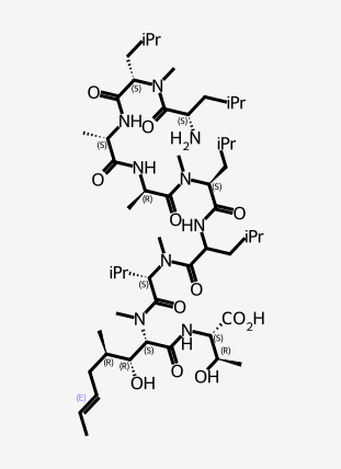 C/C=C/C[C@@H](C)[C@@H](O)[C@@H](C(=O)N[C@H](C(=O)O)[C@@H](C)O)N(C)C(=O)[C@H](C(C)C)N(C)C(=O)C(CC(C)C)NC(=O)[C@H](CC(C)C)N(C)C(=O)[C@@H](C)NC(=O)[C@H](C)NC(=O)[C@H](CC(C)C)N(C)C(=O)[C@@H](N)CC(C)C